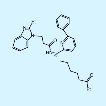 CCC(=O)CCCCC[C@H](NC(=O)CCn1c(CC)nc2ccccc21)c1cccc(-c2ccccc2)n1